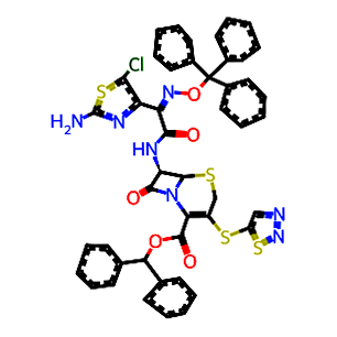 Nc1nc(/C(=N/OC(c2ccccc2)(c2ccccc2)c2ccccc2)C(=O)N[C@@H]2C(=O)N3C(C(=O)OC(c4ccccc4)c4ccccc4)=C(Sc4cnns4)CSC23)c(Cl)s1